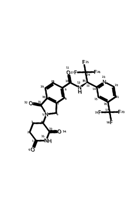 O=C1CCC(N2Cc3cc(C(=O)N[C@H](c4cc(C(F)(F)F)ccn4)C(F)(F)F)ccc3C2=O)C(=O)N1